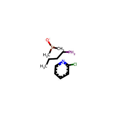 CCCCP.C[S+](C)[O-].Clc1ccccn1